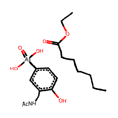 CC(=O)Nc1cc([As](=O)(O)O)ccc1O.CCCCCCC(=O)OCC